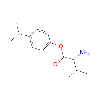 CC(C)c1ccc(OC(=O)C(N)C(C)C)cc1